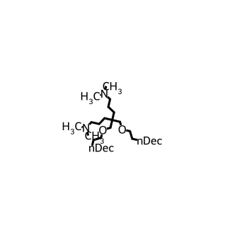 CCCCCCCCCCCCOCC(CCCN(C)C)(CCCN(C)C)COCCCCCCCCCCCC